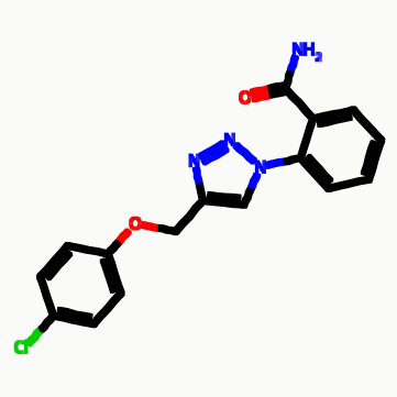 NC(=O)c1ccccc1-n1cc(COc2ccc(Cl)cc2)nn1